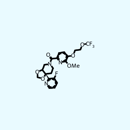 COc1nc(C(=O)N2CC[C@]3(c4ncccc4F)OCOC3C2)ccc1OCCOC(F)(F)F